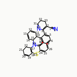 N#CC1=C(c2ccccc2C2C=CC=CC2N2C3=C(C=CCC3)Sc3ccccc32)N=CCC1